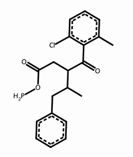 Cc1cccc(Cl)c1C(=O)C(CC(=O)OP)C(C)Cc1ccccc1